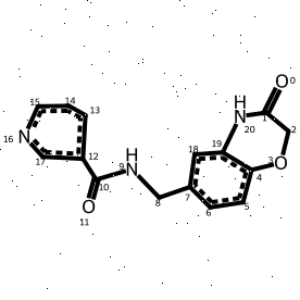 O=C1COc2ccc(CNC(=O)c3cccnc3)cc2N1